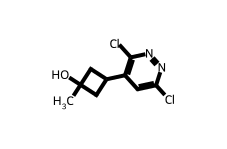 CC1(O)CC(c2cc(Cl)nnc2Cl)C1